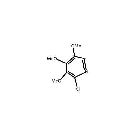 COc1[c]nc(Cl)c(OC)c1OC